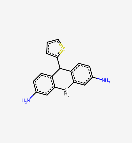 Nc1ccc2c(c1)[SiH2]c1cc(N)ccc1C2c1cccs1